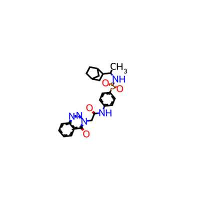 CC(NS(=O)(=O)c1ccc(NC(=O)Cn2nnc3ccccc3c2=O)cc1)C1CC2CCC1C2